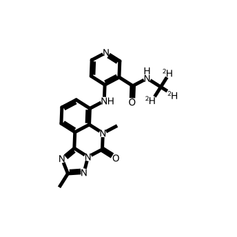 [2H]C([2H])([2H])NC(=O)c1cnccc1Nc1cccc2c1n(C)c(=O)n1nc(C)nc21